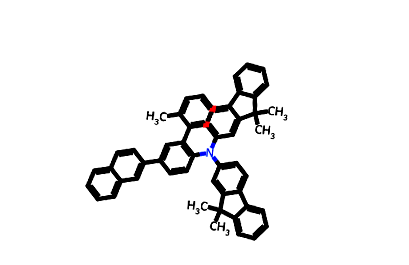 Cc1ccccc1-c1cc(-c2ccc3ccccc3c2)ccc1N(c1ccc2c(c1)C(C)(C)c1ccccc1-2)c1ccc2c(c1)C(C)(C)c1ccccc1-2